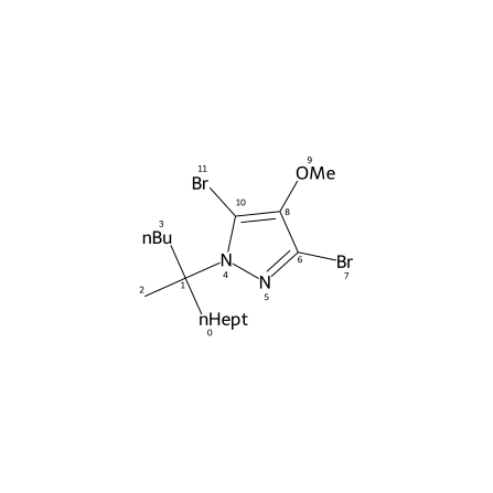 CCCCCCCC(C)(CCCC)n1nc(Br)c(OC)c1Br